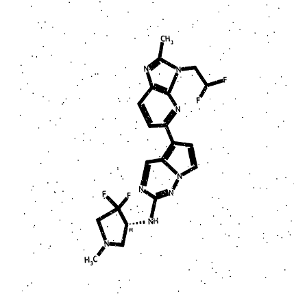 Cc1nc2ccc(-c3ccn4nc(N[C@@H]5CN(C)CC5(F)F)ncc34)nc2n1CC(F)F